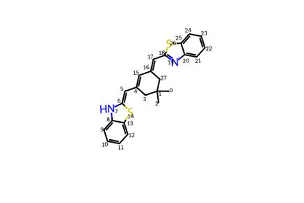 CC1(C)CC(C=C2Nc3ccccc3S2)=CC(=Cc2nc3ccccc3s2)C1